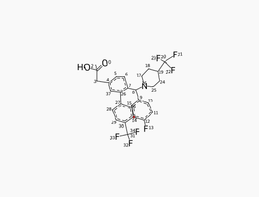 O=C(O)Cc1ccc(C(c2ccc(F)cc2)N2CCC(C(F)(F)F)CC2)c(-c2ccc(C(F)(F)F)cc2)c1